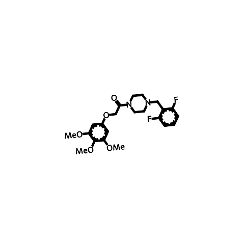 COc1cc(OCC(=O)N2CCN(Cc3c(F)cccc3F)CC2)cc(OC)c1OC